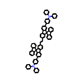 C1=CC2=C(CC1)c1ccccc1C21c2cc(/C=C/c3ccc4c(c3)C3(c5ccccc5-c5ccccc53)c3cc(-c5ccc(N(c6ccccc6)c6ccccc6)cc5)ccc3-4)ccc2-c2ccc(-c3ccc(N(c4ccccc4)c4ccccc4)cc3)cc21